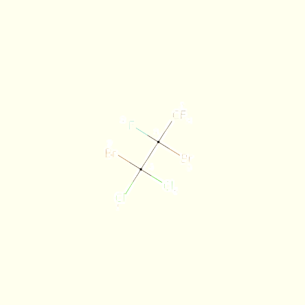 FC(F)(F)C(F)(Br)C(Cl)(Cl)Br